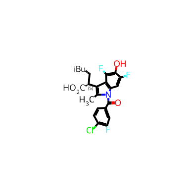 CCC(C)C[C@H](C(=O)O)c1c(C)n(C(=O)c2ccc(Cl)c(F)c2)c2cc(F)c(O)c(F)c12